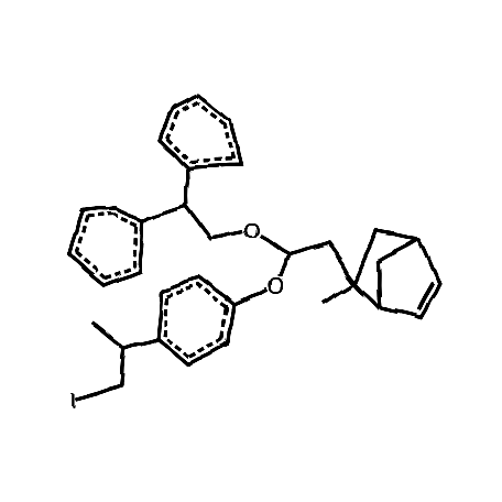 CC(CI)c1ccc(OC(CC2(C)CC3C=CC2C3)OCC(c2ccccc2)c2ccccc2)cc1